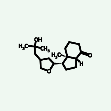 CC(C)(O)CC1COC([C@H]2CC[C@H]3C(=O)CCC[C@]23C)C1